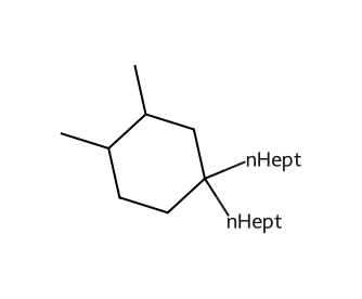 CCCCCCCC1(CCCCCCC)CCC(C)C(C)C1